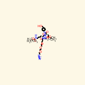 CC(C)(C)OC(=O)C[C@H](NC(=O)[C@H](CCCCNC(=O)OC(C)(C)C)NC(=O)CCOCCOCCOCCN=[N+]=[N-])C(=O)Nc1ccc(CO)cc1